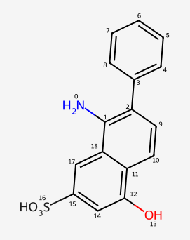 Nc1c(-c2ccccc2)ccc2c(O)cc(S(=O)(=O)O)cc12